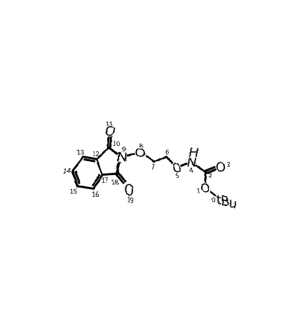 CC(C)(C)OC(=O)NOCCON1C(=O)c2ccccc2C1=O